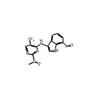 C[S+]([O-])c1ncc(C(F)(F)F)c(Nc2c[nH]c3c(P=O)cccc23)n1